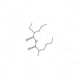 CCCCC(C)C(=O)OC(=O)C(CC)CCC